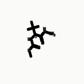 COC(=O)N[C@H](C(=O)NN)C(C)(C)C